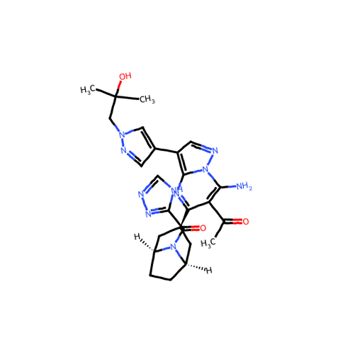 CC(=O)c1c([C@H]2C[C@H]3CC[C@@H](C2)N3C(=O)c2nnc[nH]2)nc2c(-c3cnn(CC(C)(C)O)c3)cnn2c1N